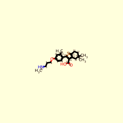 CNCCCOc1ccc(-c2sc3c(c2C(=O)O)CC(C)(C)CC3)c(C)c1